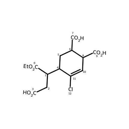 CCOC(=O)C(CC(=O)O)C1CC(C(=O)O)C(C(=O)O)C=C1Cl